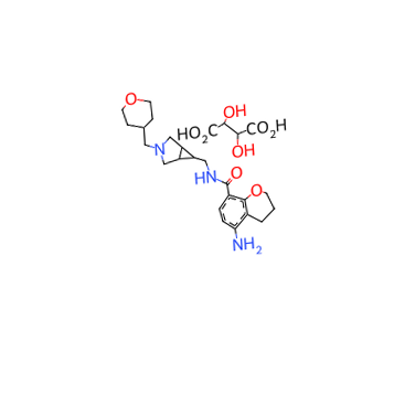 Nc1ccc(C(=O)NCC2C3CN(CC4CCOCC4)CC23)c2c1CCCO2.O=C(O)C(O)C(O)C(=O)O